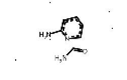 NC=O.Nc1ccccn1